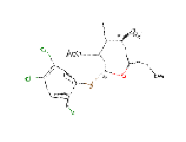 CC(=O)OCC1O[C@H](Sc2cc(Cl)c(Cl)cc2F)C(OC(C)=O)C(C)[C@H]1OC(C)=O